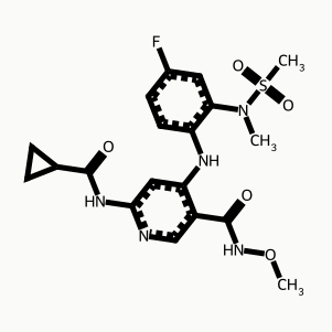 CONC(=O)c1cnc(NC(=O)C2CC2)cc1Nc1ccc(F)cc1N(C)S(C)(=O)=O